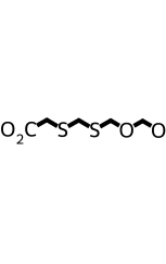 O=C(O)CSCSCOCO